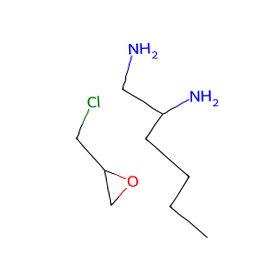 CCCCC(N)CN.ClCC1CO1